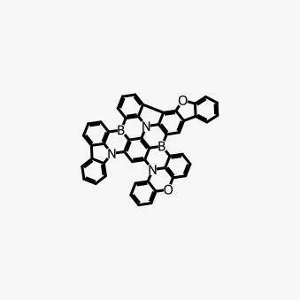 c1ccc2c(c1)Oc1cccc3c1N2c1cc2c4c5c1B3c1cc3c6ccccc6oc3c3c6cccc(c6n-5c13)B4c1cccc3c4ccccc4n-2c13